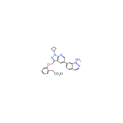 CCOC(=O)Cc1ccccc1OCc1nn(C2CCC2)c2ncc(-c3ccc4ccnc(N)c4c3)cc12